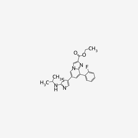 CCOC(=O)c1cn2cc(-c3cnc(NC(C)C)s3)cc(-c3ccccc3F)c2n1